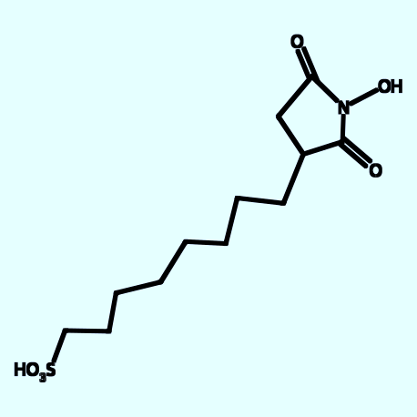 O=C1CC(CCCCCCCCS(=O)(=O)O)C(=O)N1O